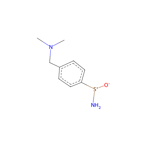 CN(C)Cc1ccc([S+](N)[O-])cc1